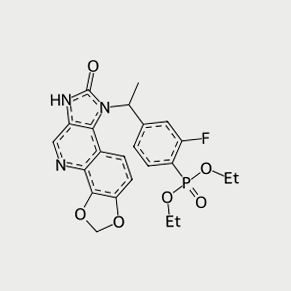 CCOP(=O)(OCC)c1ccc(C(C)n2c(=O)[nH]c3cnc4c5c(ccc4c32)OCO5)cc1F